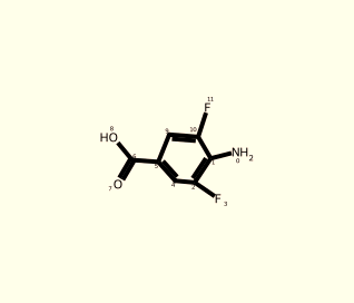 Nc1c(F)cc(C(=O)O)cc1F